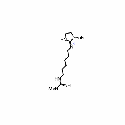 CCCN1CCN/C1=N\CCCCCCNC(=N)NC